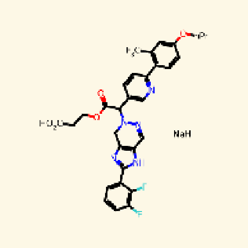 CCCOc1ccc(-c2ccc(C(C(=O)OCCC(=O)O)N3Cc4nc(-c5cccc(F)c5F)[nH]c4C=N3)cn2)c(C(F)(F)F)c1.[NaH]